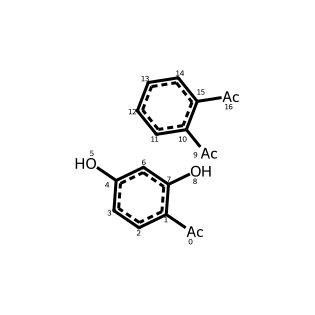 CC(=O)c1ccc(O)cc1O.CC(=O)c1ccccc1C(C)=O